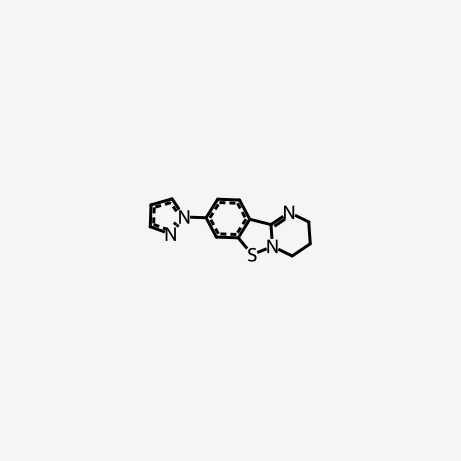 c1cnn(-c2ccc3c(c2)SN2CCCN=C32)c1